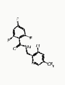 O=C(NCc1ncc(C(F)(F)F)cc1Cl)c1c(F)cc(F)cc1F